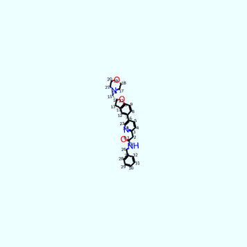 O=C(Cc1ccc(-c2ccc3c(c2)C[C@H](CN2CCOCC2)O3)cn1)NCc1ccccc1